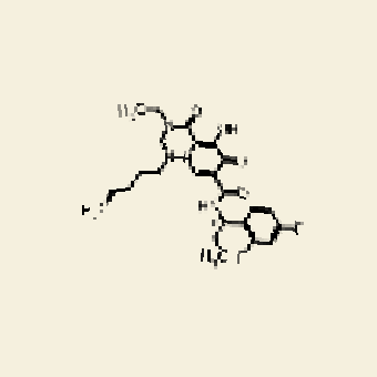 C=CCCCN1CN(CC)C(=O)c2c(O)c(=O)c(C(=O)N[C@H](CC)c3ccc(F)cc3F)cn21